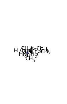 Cc1ccc2[nH]c(C(=O)OCC(C)C)c(/C(N)=C/N(N)CC3CCN(Cc4ccc(-c5cccc(C(C)C)c5)c(Cl)c4)CC3)c2c1